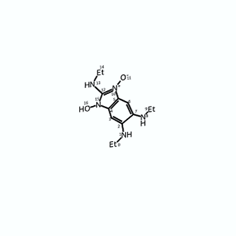 CCNc1cc2c(cc1NCC)[n+]([O-])c(NCC)n2O